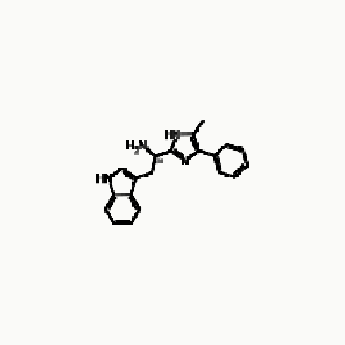 Cc1[nH]c([C@H](N)Cc2c[nH]c3ccccc23)nc1-c1ccccc1